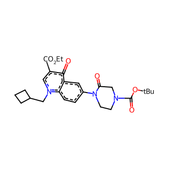 CCOC(=O)c1cn(CC2CCC2)c2ccc(N3CCN(C(=O)OC(C)(C)C)CC3=O)cc2c1=O